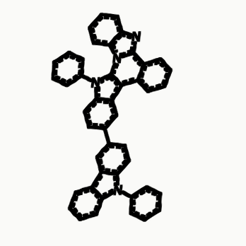 c1ccc(-n2c3ccccc3c3cc(-c4ccc5c(c4)c4c6ccccc6c6nc7ccccc7n6c4n5-c4ccccc4)ccc32)cc1